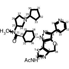 CC(=O)Nc1nc2c(s1)-c1c(c(-c3cccnc3)nn1[C@H]1CC[C@H](C(=O)N(C)C3CCN(C4CCCC4)C3)CC1)OC2